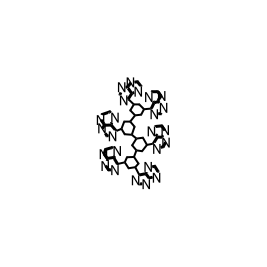 c1cnc2c(C3CC(c4ncnc5nccnc45)CC(C4CC(c5ncnc6nccnc56)CC(C5CC(c6ncnc7nccnc67)CC(C6CC(c7ncnc8nccnc78)CC(c7ncnc8nccnc78)C6)C5)C4)C3)ncnc2n1